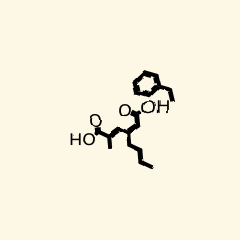 C=Cc1ccccc1.CCCCC(=CC(=O)O)C=C(C)C(=O)O